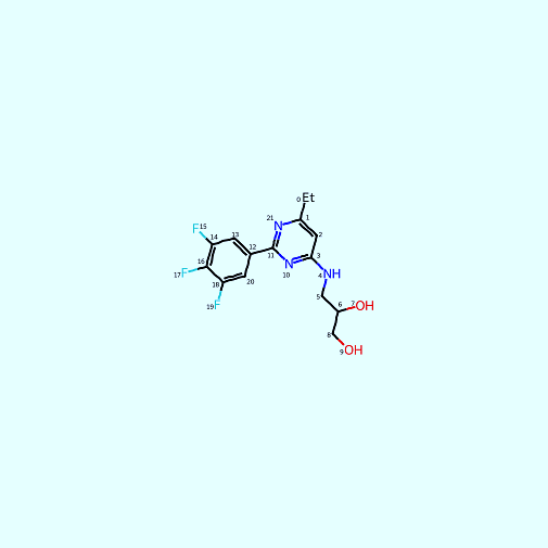 CCc1cc(NCC(O)CO)nc(-c2cc(F)c(F)c(F)c2)n1